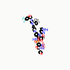 Cc1ccccc1[C@@H]1CN([C@H]2CCOc3cc(F)c(F)cc32)CCN1C1CC2(CCN(c3ccc(C(=O)NS(=O)(=O)c4cc5c(c([N+](=O)[O-])c4)N[C@H](C4CCOCC4)CO5)c(N4c5cc6cc[nH]c6nc5O[C@H]5COCC[C@@H]54)c3)CC2)C1